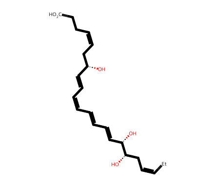 CC/C=C\C[C@H](O)[C@@H](O)/C=C/C=C/C=C\C=C\[C@@H](O)C/C=C\CCC(=O)O